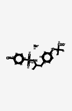 CC(Cc1ccc(OC(C)(C)C(=O)[O-])cc1)NS(=O)(=O)c1ccc(Cl)cc1.[Na+]